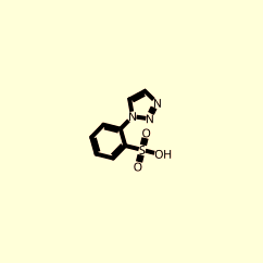 O=S(=O)(O)c1ccccc1-n1ccnn1